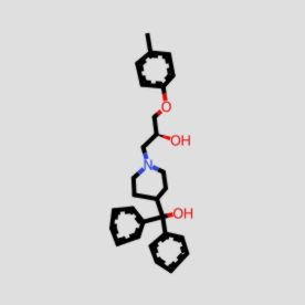 Cc1ccc(OC[C@@H](O)CN2CCC(C(O)(c3ccccc3)c3ccccc3)CC2)cc1